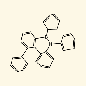 c1ccc(B2c3cccc(-c4ccccc4)c3-c3ccccc3N2c2ccccc2)cc1